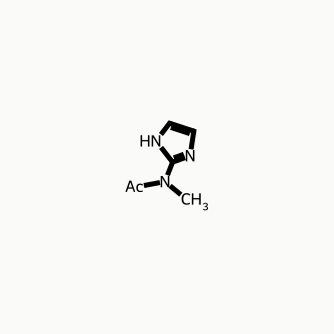 CC(=O)N(C)c1ncc[nH]1